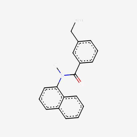 CN(C(=O)c1cccc(CC(C)(C)C)c1)c1cccc2ccccc12